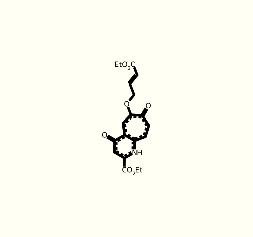 CCOC(=O)C=CCOc1cc2c(=O)cc(C(=O)OCC)[nH]c2ccc1=O